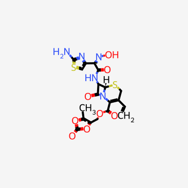 C=CC1=C(C(=O)OCc2oc(=O)oc2C)N2C(=O)C(NC(=O)/C(=N\O)c3csc(N)n3)[C@H]2SC1